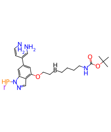 CC(C)(C)OC(=O)NCCCCBCCOc1cc(C(/C=C\N)=C/N)cc2c1cnn2PI